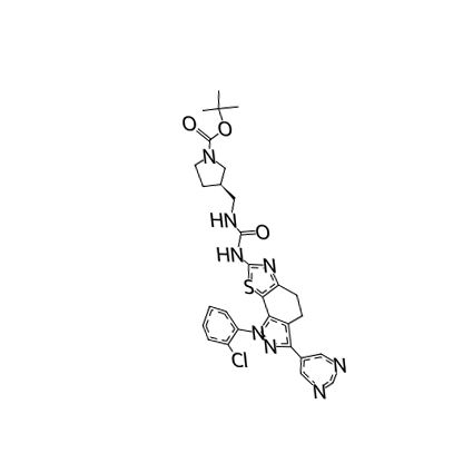 CC(C)(C)OC(=O)N1CC[C@H](CNC(=O)Nc2nc3c(s2)-c2c(c(-c4cncnc4)nn2-c2ccccc2Cl)CC3)C1